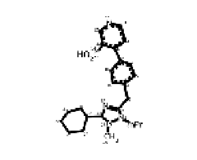 CCCN1C(Cc2ccc(-c3ccncc3C(=O)O)cc2)=NC(C2CCCCC2)N1C